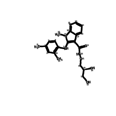 Cc1ccc(Nc2c(C(=O)NOC[C@@H](O)CO)c3cccnc3n2C)c(C)c1